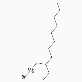 CCCCCCCCC(CC)[CH2][Mg][Br]